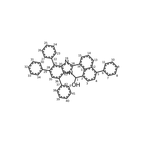 OC1c2ccc(-c3ccccc3)c3cccc(c23)-c2nc3c(-c4ccccc4)c(-c4ccccc4)cc(-c4ccccc4)c3n21